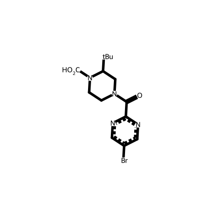 CC(C)(C)C1CN(C(=O)c2ncc(Br)cn2)CCN1C(=O)O